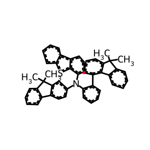 CC1(C)c2ccccc2-c2ccc(N(c3ccccc3-c3cccc4c3-c3ccccc3C4(C)C)c3cccc4c3sc3ccccc34)cc21